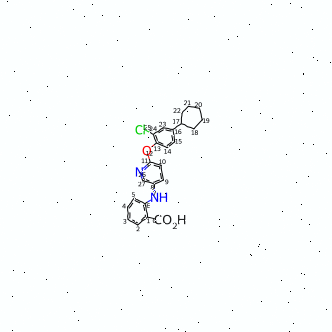 O=C(O)c1ccccc1Nc1ccc(Oc2ccc(C3CCCCC3)cc2Cl)nc1